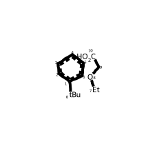 CC(C)(C)c1ccccc1.CCOCC(=O)O